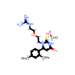 COc1ccc(-c2cc(=O)[nH]c(=S)n2CCOCCNC(=N)N)c(OC)c1.O=CO